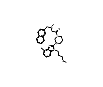 COCCCn1c([C@@H]2CCCN(C(=O)C[C@H](C)Cc3ccc4ccccc4c3)C2)nc2c(C)cccc21